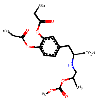 CCC(C)OC(=O)OC(C)CN[C@@H](Cc1ccc(OC(=O)CC(C)(C)C)c(OC(=O)CC(C)(C)C)c1)C(=O)O